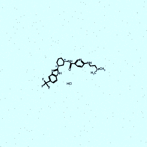 CN(C)CCNc1ccc(C(=O)N[C@@H]2CCC[C@H](c3nc4cc(C(F)(F)F)ccc4[nH]3)C2)cn1.Cl